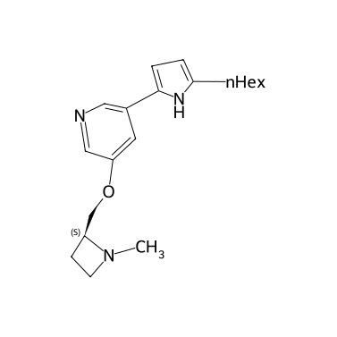 CCCCCCc1ccc(-c2cncc(OC[C@@H]3CCN3C)c2)[nH]1